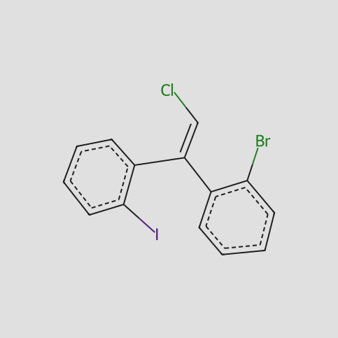 Cl/C=C(/c1ccccc1Br)c1ccccc1I